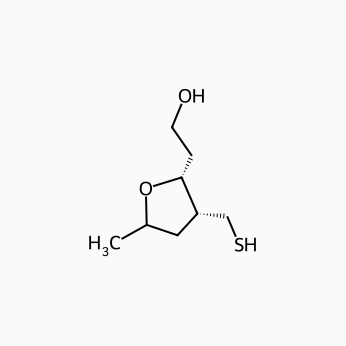 CC1C[C@@H](CS)[C@@H](CCO)O1